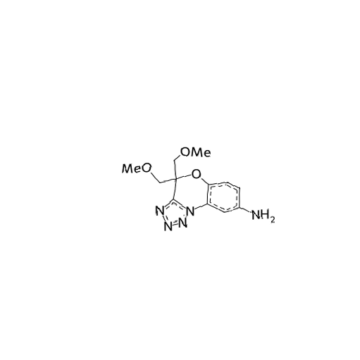 COCC1(COC)Oc2ccc(N)cc2-n2nnnc21